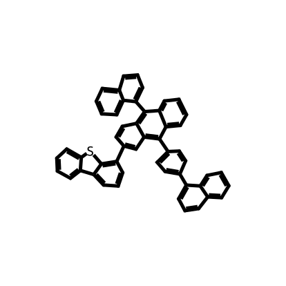 c1ccc2c(-c3ccc(-c4c5ccccc5c(-c5cccc6ccccc56)c5ccc(-c6cccc7c6sc6ccccc67)cc45)cc3)cccc2c1